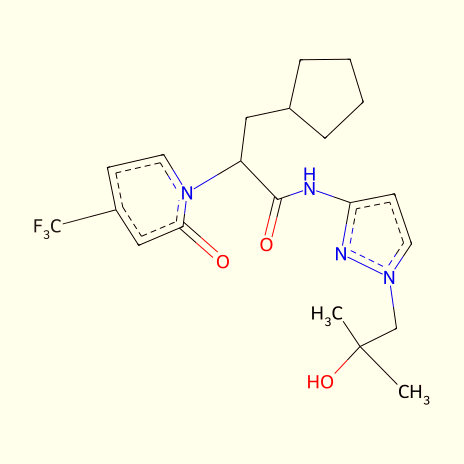 CC(C)(O)Cn1ccc(NC(=O)C(CC2CCCC2)n2ccc(C(F)(F)F)cc2=O)n1